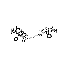 CC1=CC2=Nc3cc(C)c(N(C)C)cc3N(c3ccccc3)C2C=C1N(C)CCCCCCCCN(C)c1cc2c(cc1C)nc1cc(C)c(N(C)C)cc1[n+]2-c1ccccc1